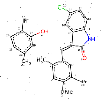 COc1cc(C)c(/C=C2\C(=O)Nc3ccc(Cl)cc32)cc1C(C)C.Cc1ccc(C(C)C)c(O)c1